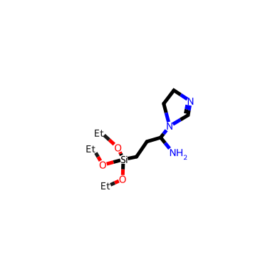 CCO[Si](CCC(N)N1C=NCC1)(OCC)OCC